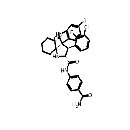 NC(=O)c1ccc(NC(=O)[C@@H]2NC3(CCCCC3)[C@@]3(C(=O)Nc4cc(Cl)ccc43)[C@H]2c2cccc(Cl)c2F)cc1